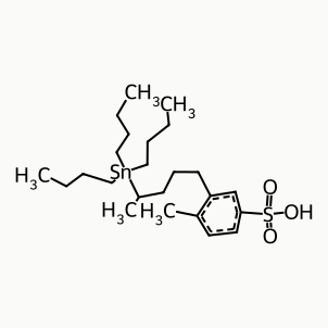 CCC[CH2][Sn]([CH2]CCC)([CH2]CCC)[CH](C)CCCc1cc(S(=O)(=O)O)ccc1C